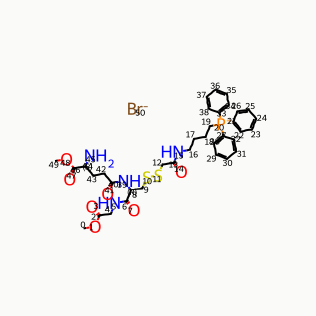 COC(=O)CNC(=O)[C@H](CSSCC(=O)NCCCC[P+](c1ccccc1)(c1ccccc1)c1ccccc1)NC(=O)CC[C@H](N)C(=O)OC.[Br-]